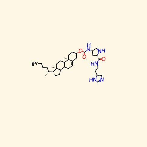 CC(C)CCC[C@@H](C)[C@H]1CCC2C3CC=C4CC(OC(=O)N[C@@H]5CN[C@H](C(=O)NCCc6cnc[nH]6)C5)CC[C@]4(C)C3CC[C@@]21C